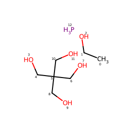 CCO.OCC(CO)(CO)CO.P